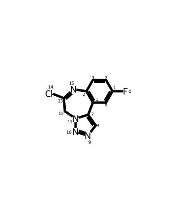 Fc1ccc2c(c1)-c1cnnn1CC(Cl)=N2